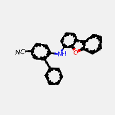 N#Cc1ccc(Nc2cccc3c2oc2ccccc23)c(-c2ccccc2)c1